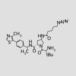 Cc1ncsc1-c1ccc(C(C)NC(=O)[C@@H]2C[C@@H](NC(=O)CCCCN=[N+]=[N-])CN2C(=O)C(N)C(C)(C)C)cc1